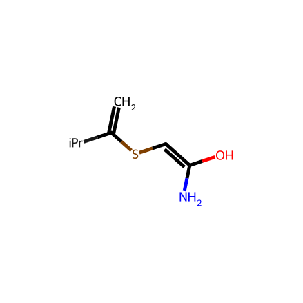 C=C(S/C=C(\N)O)C(C)C